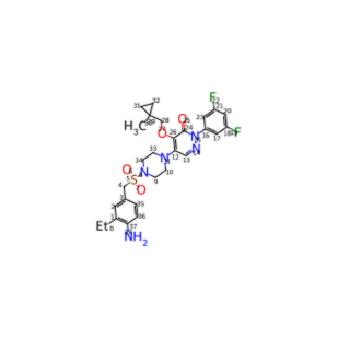 CCc1cc(CS(=O)(=O)N2CCN(c3cnn(-c4cc(F)cc(F)c4)c(=O)c3OCC3(C)CC3)CC2)ccc1N